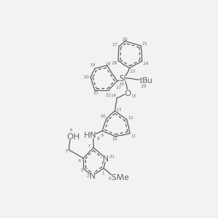 CSc1ncc(CO)c(Nc2cccc(CO[Si](c3ccccc3)(c3ccccc3)C(C)(C)C)c2)n1